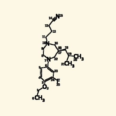 CCOc1ccc(N2CCN(CCCC#N)C[C@@H](CC(C)C)C2)cc1F